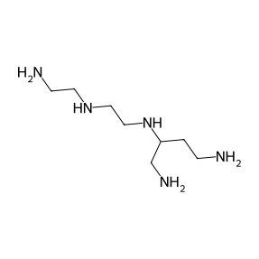 NCCNCCNC(CN)CCN